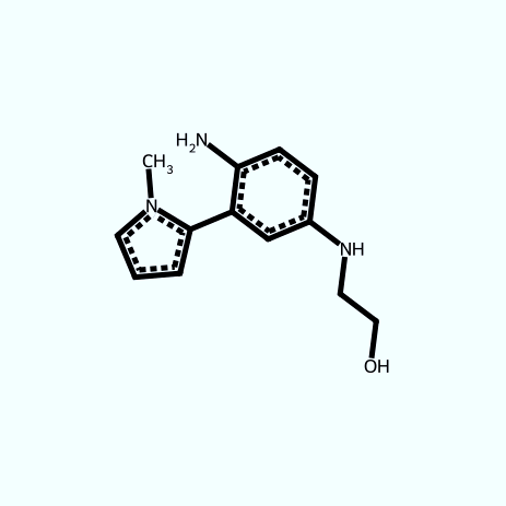 Cn1cccc1-c1cc(NCCO)ccc1N